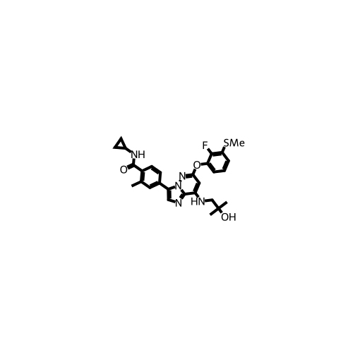 CSc1cccc(Oc2cc(NCC(C)(C)O)c3ncc(-c4ccc(C(=O)NC5CC5)c(C)c4)n3n2)c1F